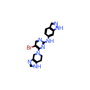 Brc1cnc(Nc2ccc3cn[nH]c3c2)nc1N1CCc2[nH]cnc2C1